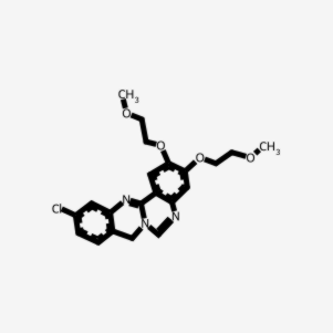 COCCOc1cc2c(cc1OCCOC)C1=Nc3cc(Cl)ccc3CN1C=N2